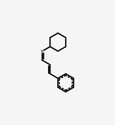 C(/C=C/c1ccccc1)=N/C1CCCCC1